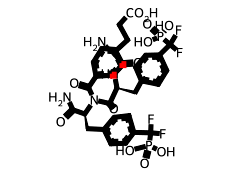 NC(=O)[C@H](Cc1ccc(C(F)(F)P(=O)(O)O)cc1)N(C(=O)c1ccccc1)C(=O)[C@H](Cc1ccc(C(F)(F)P(=O)(O)O)cc1)NC(=O)[C@@H](N)CCC(=O)O